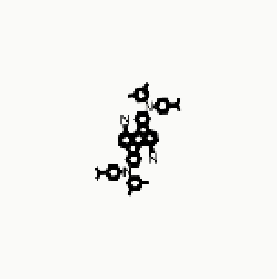 Cc1cc(C)cc(N(c2ccc(C(C)C)cc2)c2ccc3c(c2)c2ccc(C#N)c4c5c6ccc(N(c7ccc(C(C)C)cc7)c7cc(C)cc(C)c7)cc6c6ccc(C#N)c(c3c24)c65)c1